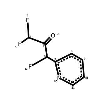 O=C(C(F)F)C(F)c1ccccn1